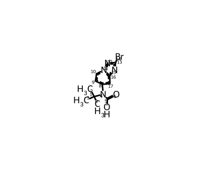 CC(C)(C)N(C(=O)O)c1ccn2nc(Br)nc2c1